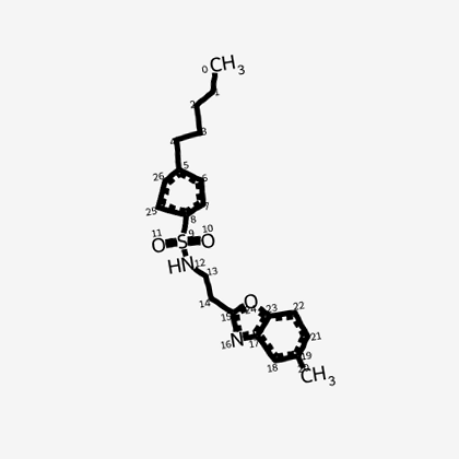 CCCCCc1ccc(S(=O)(=O)NCCc2nc3cc(C)ccc3o2)cc1